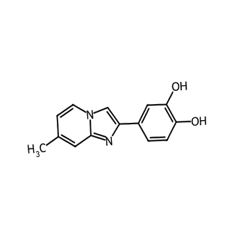 Cc1ccn2cc(-c3ccc(O)c(O)c3)nc2c1